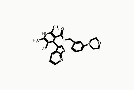 CC(=O)C1=C(C)NC(C)=C(C(=O)OCc2cccc(N3CCOCC3)c2)C1c1csc2ncccc12